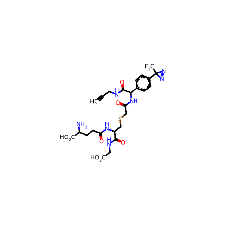 C#CCNC(=O)C(NC(=O)CSCC(NC(=O)CCC(N)C(=O)O)C(=O)NCC(=O)O)c1ccc(C2(C(F)(F)F)N=N2)cc1